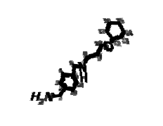 NCc1ccc(CNCCCOC2CCCCC2)cc1